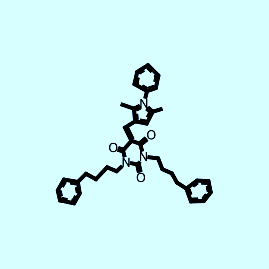 Cc1cc(C=C2C(=O)N(CCCCc3ccccc3)C(=O)N(CCCCc3ccccc3)C2=O)c(C)n1-c1ccccc1